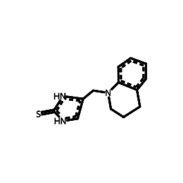 S=c1[nH]cc(CN2CCCc3ccccc32)[nH]1